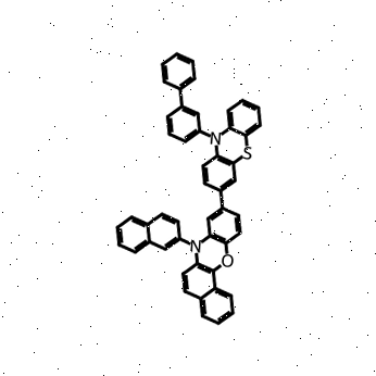 c1ccc(-c2cccc(N3c4ccccc4Sc4cc(-c5ccc6c(c5)N(c5ccc7ccccc7c5)c5ccc7ccccc7c5O6)ccc43)c2)cc1